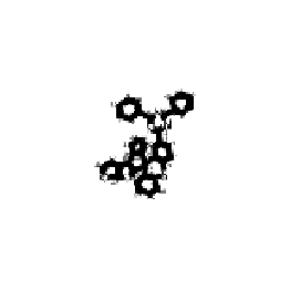 c1ccc(-c2nc(-c3ccccc3)nc(-c3ccc4c(c3)C3(c5ccccc5S4)c4ccccc4-c4c3ccc3occc43)n2)cc1